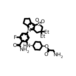 CCC1(CC)Cc2c(c3c(n2-c2cc(F)c(C(N)=O)c(N[C@H]4CC[C@H](OC(=O)CN)CC4)c2)CCC3)S(=O)(=O)C1